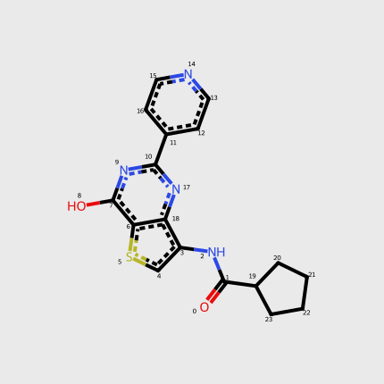 O=C(Nc1csc2c(O)nc(-c3ccncc3)nc12)C1CCCC1